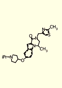 Cc1nc(CN2CC(C)n3c(cc4cc(OC5CCN(C(C)C)CC5)ccc43)C2=O)cs1